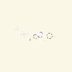 C[C@@H](Nc1ncnn2cc(C(=O)N3CC4(C3)CN(C3COC3)C4)cc12)c1cccc(C(F)F)c1F